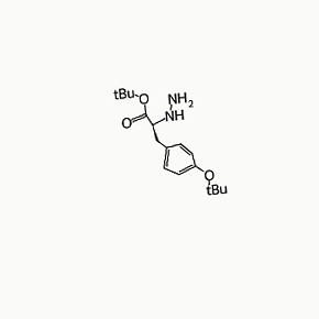 CC(C)(C)OC(=O)[C@H](Cc1ccc(OC(C)(C)C)cc1)NN